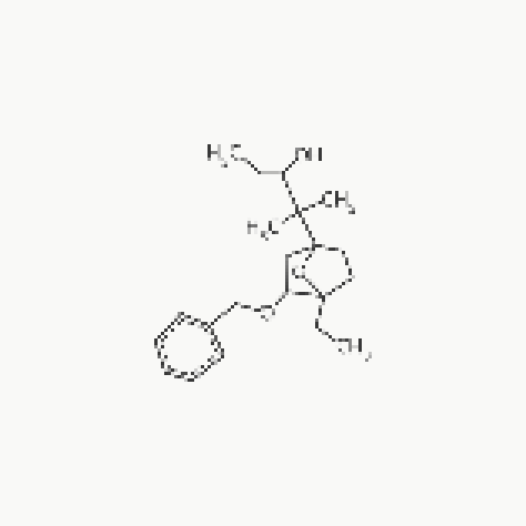 CCC(O)C(C)(C)C12CCC(CC)(O1)C(OCc1ccccc1)C2